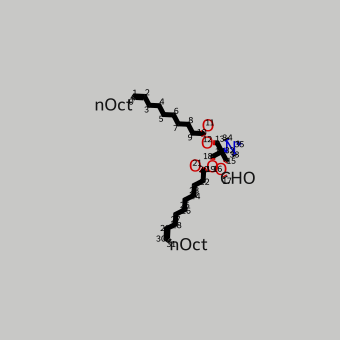 CCCCCCCC/C=C\CCCCCCCC(=O)OCC(COC=O)(COC(=O)CCCCCCC/C=C\CCCCCCCC)[N+](C)(C)C